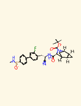 CN[S+]([O-])c1ccc(-c2ccc(C[C@@H](C#N)NC(=O)[C@@H]3[C@@H]4C[C@@H]([C@H]5C[C@@H]45)N3C(=O)OC(C)(C)C)c(F)c2)cc1